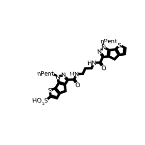 CCCCCn1nc(C(=O)NCCCNC(=O)c2nn(CCCCC)c3c2Cc2cc(S(=O)(=O)O)sc2-3)c2c1-c1sccc1C2